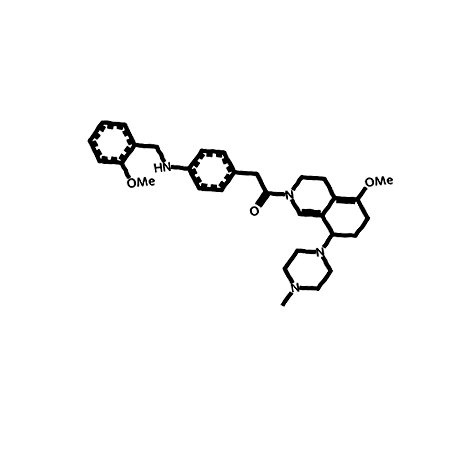 COC1=C2CCN(C(=O)Cc3ccc(NCc4ccccc4OC)cc3)C=C2C(N2CCN(C)CC2)CC1